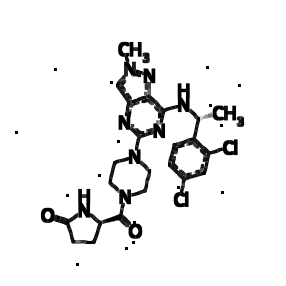 C[C@@H](Nc1nc(N2CCN(C(=O)[C@H]3CCC(=O)N3)CC2)nc2cn(C)nc12)c1ccc(Cl)cc1Cl